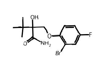 CC(C)(C)C(O)(COc1ccc(F)cc1Br)C(N)=O